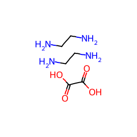 NCCN.NCCN.O=C(O)C(=O)O